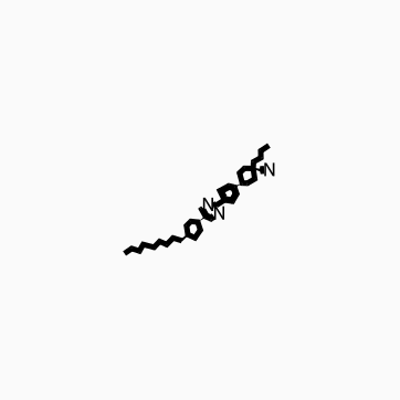 CCCCCCCCC[C@H]1CC[C@H](c2cnc(-c3ccc([C@H]4CC[C@@](C#N)(CCCC)CC4)cc3)nc2)CC1